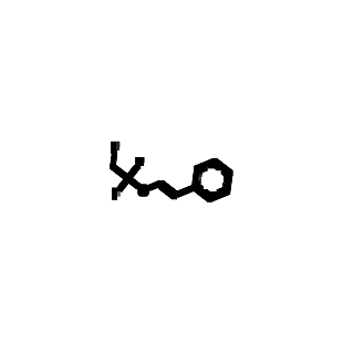 FCC(F)(F)OC=Cc1ccccc1